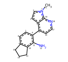 Cn1ccc2c(-c3ccc4c(c3N)CCC4)ccnc21